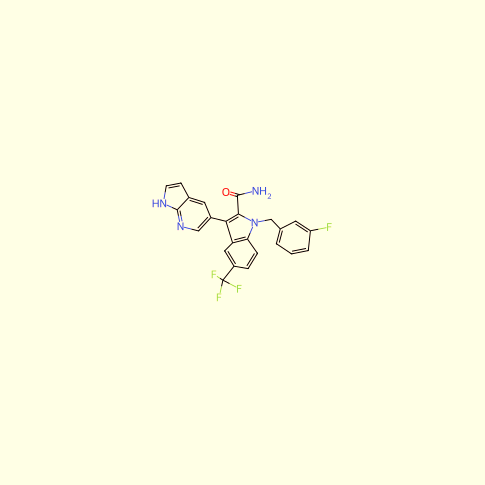 NC(=O)c1c(-c2cnc3[nH]ccc3c2)c2cc(C(F)(F)F)ccc2n1Cc1cccc(F)c1